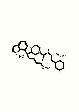 CNC[C@H](CC1CCCCC1)NC(=O)N1CCOC([C@@](O)(CCCCOC)c2cccc3ccsc23)C1